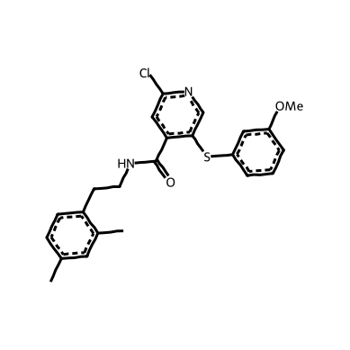 COc1cccc(Sc2cnc(Cl)cc2C(=O)NCCc2ccc(C)cc2C)c1